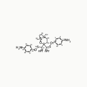 CCCC(SOc1ccc(N)cc1)C1(C(CCC)SOc2ccc(N)cc2)CC[Si](C)(C)[Si](C)(C)O1